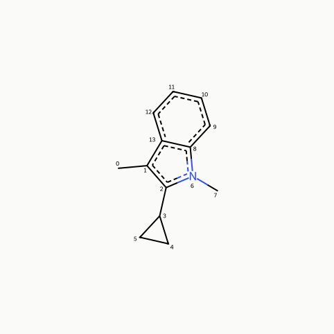 Cc1c(C2CC2)n(C)c2ccccc12